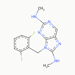 CNc1ncc2nc(NC)n(Cc3c(F)cccc3F)c2n1